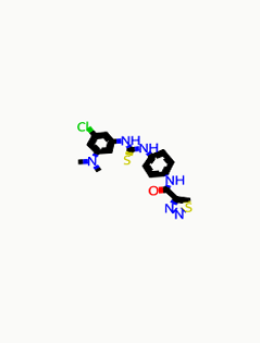 CN(C)c1cc(Cl)cc(NC(=S)Nc2ccc(NC(=O)c3csnn3)cc2)c1